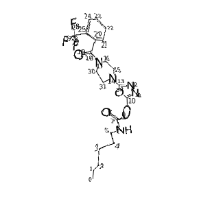 CCCCCCNC(=O)Oc1nnc(N2CCN(C(=O)c3ccccc3C(F)(F)F)CC2)o1